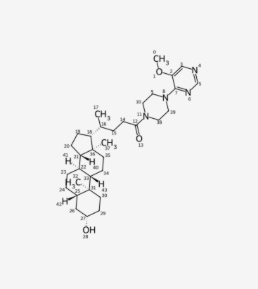 COc1cncnc1N1CCN(C(=O)CCC(C)[C@H]2CC[C@H]3[C@@H]4CC[C@H]5C[C@@H](O)CC[C@]5(C)[C@H]4CC[C@]23C)CC1